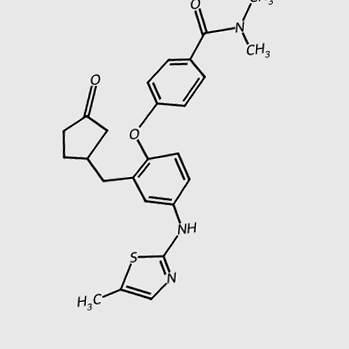 Cc1cnc(Nc2ccc(Oc3ccc(C(=O)N(C)C)cc3)c(CC3CCC(=O)C3)c2)s1